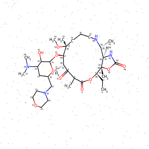 CC[C@H]1OC(=O)C(C)C(=O)[C@H](C)[C@@H](OC2OC(CN3CCOCC3)CC(N(C)C)C2O)[C@](C)(OC)CCCN[C@H](C)[C@H]2NC(=O)O[C@@]21C